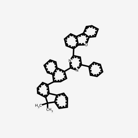 CC1(C)c2ccccc2-c2c(-c3ccc(-c4nc(-c5ccccc5)cc(-c5cccc6c5oc5ccccc56)n4)c4ccccc34)cccc21